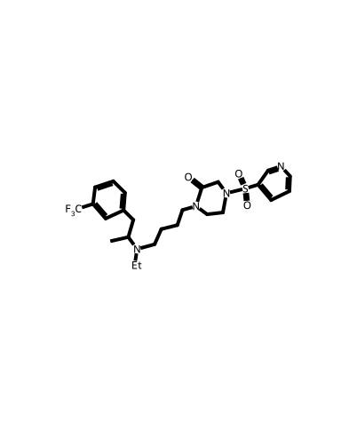 CCN(CCCCN1CCN(S(=O)(=O)c2cccnc2)CC1=O)C(C)Cc1cccc(C(F)(F)F)c1